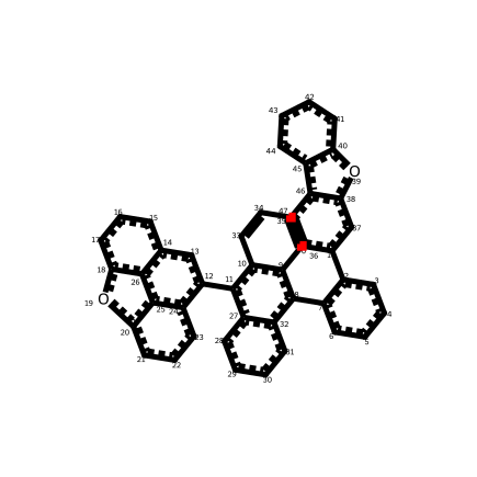 c1c(-c2ccccc2-c2c3c(c(-c4cc5cccc6oc7cccc4c7c56)c4ccccc24)C=CCC3)cc2oc3ccccc3c2c#1